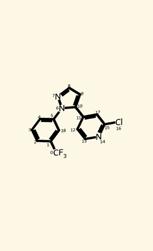 FC(F)(F)c1cccc(-n2nccc2-c2ccnc(Cl)c2)c1